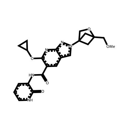 COCC12CC(n3cc4cc(C(=O)Nc5ccc[nH]c5=O)c(OC5CC5)nc4n3)(CO1)C2